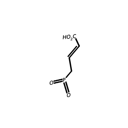 O=C(O)C=CCP(=O)=O